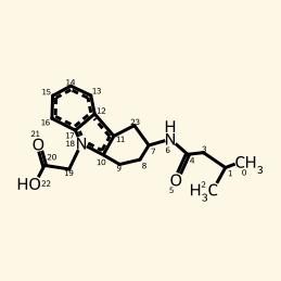 CC(C)CC(=O)NC1CCc2c(c3ccccc3n2CC(=O)O)C1